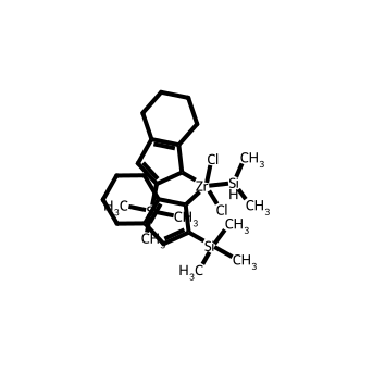 C[SiH](C)[Zr]([Cl])([Cl])([CH]1C([Si](C)(C)C)=CC2=C1CCCC2)[CH]1C([Si](C)(C)C)=CC2=C1CCCC2